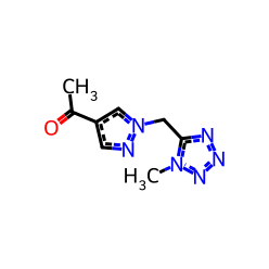 CC(=O)c1cnn(Cc2nnnn2C)c1